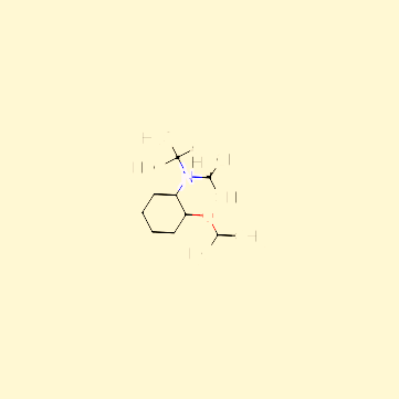 CC(C)OC1CCCCC1N(C(C)C)C(C)(C)C